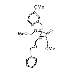 COCO[C@@]1(Cc2cc(OC)ccn2)C(=O)N(COC)[C@H]1COCc1ccccc1